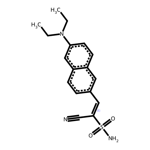 CCN(CC)c1ccc2cc(/C=C(\C#N)S(N)(=O)=O)ccc2c1